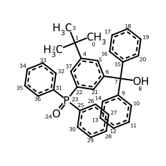 CC(C)(C)c1cc(C(O)(c2ccccc2)c2ccccc2)cc(P(=O)(c2ccccc2)c2ccccc2)c1